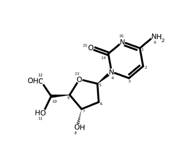 Nc1ccn([C@H]2C[C@H](O)[C@@H](C(O)C=O)O2)c(=O)n1